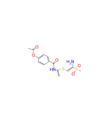 C=C(NC(=O)c1ccc(OC(C)=O)cc1)S/C=C(\N)S(C)(=O)=O